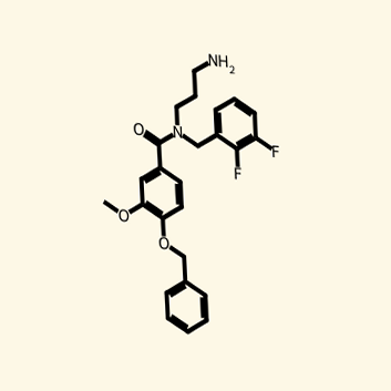 COc1cc(C(=O)N(CCCN)Cc2cccc(F)c2F)ccc1OCc1ccccc1